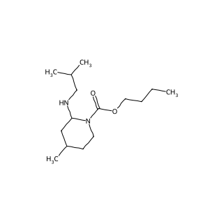 CCCCOC(=O)N1CCC(C)CC1NCC(C)C